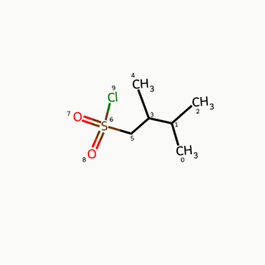 CC(C)C(C)CS(=O)(=O)Cl